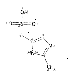 Cc1ncc(CS(=O)(=O)O)[nH]1